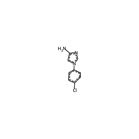 Nc1cn(-c2ccc(Cl)cc2)cn1